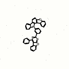 c1ccc(-c2nc(-c3cccc(-n4c5ccccc5c5ccc6oc7ccccc7c6c54)c3)nc3oc4ccccc4c23)cc1